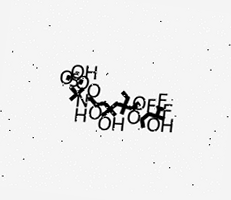 CCC(C)(CC(C)(CCC(=O)NC(C)(C)CS(=O)(=O)O)C(=O)O)C(=O)OC(C)CC(C)(O)C(F)(F)F